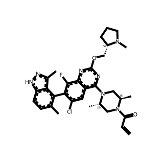 C=CC(=O)N1C[C@H](C)N(c2nc(OC[C@@H]3CCCN3C)nc3c(F)c(-c4c(C)ccc5[nH]nc(C)c45)c(Cl)cc23)C[C@H]1C